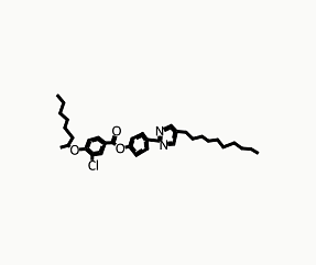 CCCCCCCCCCc1cnc(-c2ccc(OC(=O)c3ccc(OC(C)CCCCCC)c(Cl)c3)cc2)nc1